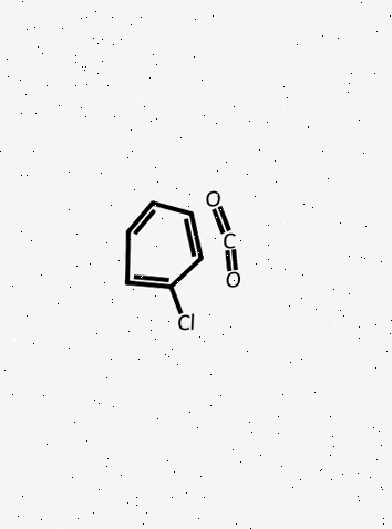 Clc1ccccc1.O=C=O